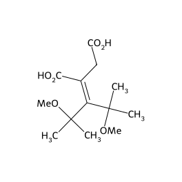 COC(C)(C)C(=C(CC(=O)O)C(=O)O)C(C)(C)OC